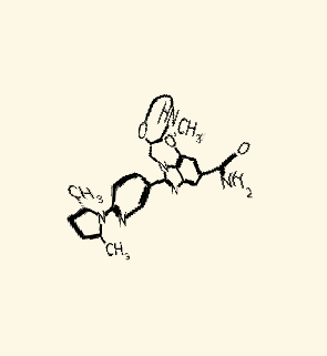 COc1cc(C(N)=O)cc2nc(-c3ccc(N4[C@@H](C)CC[C@@H]4C)nc3)n(C[C@@H]3CNCCO3)c12